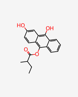 CCC(C)C(=O)Oc1c2ccccc2c(O)c2cc(O)ccc12